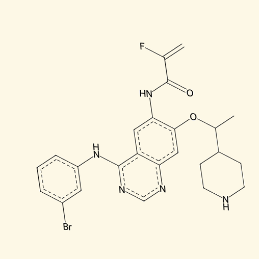 C=C(F)C(=O)Nc1cc2c(Nc3cccc(Br)c3)ncnc2cc1OC(C)C1CCNCC1